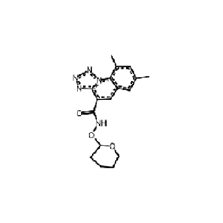 Cc1cc(C)c2c(c1)cc(C(=O)NOC1CCCCO1)c1nnnn12